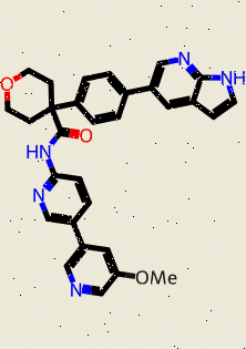 COc1cncc(-c2ccc(NC(=O)C3(c4ccc(-c5cnc6[nH]ccc6c5)cc4)CCOCC3)nc2)c1